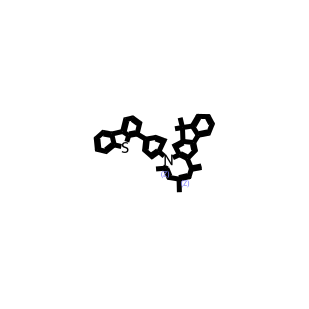 C=C1/C=C(C)\C=C(\C)N(c2ccc(-c3cccc4c3sc3ccccc34)cc2)c2cc3c(cc21)-c1ccccc1C3(C)C